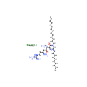 CCCCCCCCCCCCCCN(CCCCCCCCCCCC)C(=O)C(N)C(N)C(=O)C[C@@H](N)CCNC(=N)N.Cl.Cl.Cl